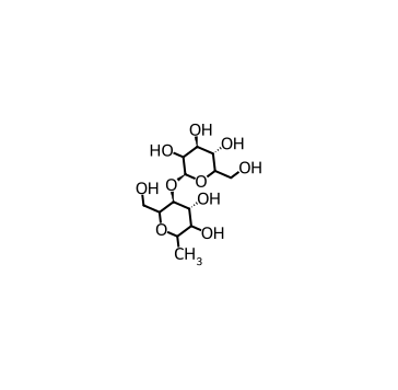 CC1OC(CO)[C@@H](O[C@@H]2OC(CO)[C@@H](O)[C@H](O)C2O)[C@H](O)C1O